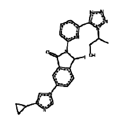 CC(CO)n1nnnc1-c1cccc(N2C(=O)c3cc(-n4cnc(C5CC5)c4)ccc3C2I)n1